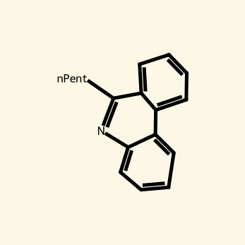 CCCCCc1nc2ccccc2c2ccccc12